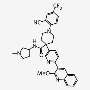 COc1nc2ccccc2cc1-c1ccc(C2(C(=O)NC3CCN(C)C3)CCN(c3ccc(C(F)(F)F)cc3C#N)CC2)cn1